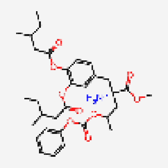 CCC(C)CC(=O)Oc1ccc(C[C@](N)(CC(C)OC(=O)Oc2ccccc2)C(=O)OC)cc1OC(=O)CC(C)CC